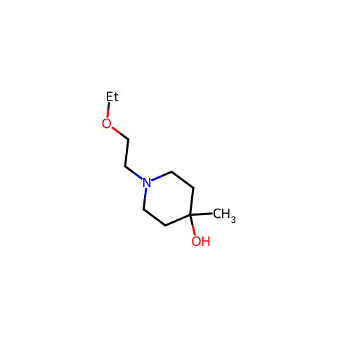 CCOCCN1CCC(C)(O)CC1